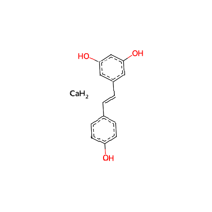 Oc1ccc(C=Cc2cc(O)cc(O)c2)cc1.[CaH2]